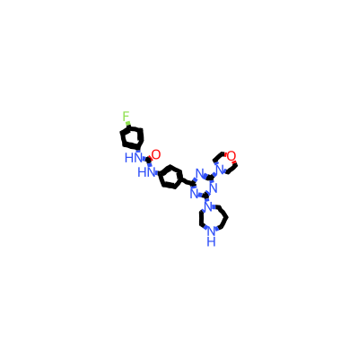 O=C(Nc1ccc(F)cc1)Nc1ccc(-c2nc(N3CCCNCC3)nc(N3CCOCC3)n2)cc1